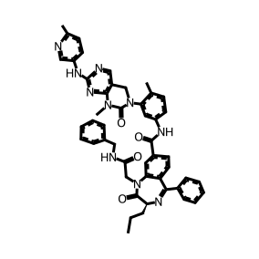 CCC[C@@H]1N=C(c2ccccc2)c2ccc(C(=O)Nc3ccc(C)c(N4Cc5cnc(Nc6ccc(C)nc6)nc5N(C)C4=O)c3)cc2N(CC(=O)NCc2ccccc2)C1=O